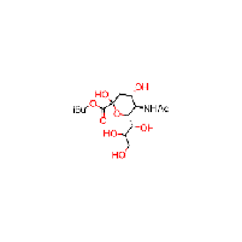 CCC(C)OC(=O)C1(O)C[C@H](O)[C@@H](NC(C)=O)[C@H](C(O)C(O)CO)O1